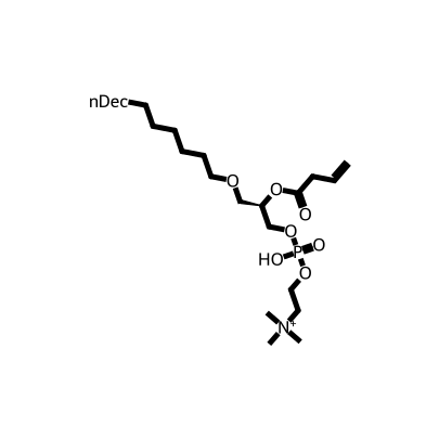 C=CCC(=O)O[C@H](COCCCCCCCCCCCCCCCC)COP(=O)(O)OCC[N+](C)(C)C